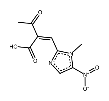 CC(=O)C(=Cc1ncc([N+](=O)[O-])n1C)C(=O)O